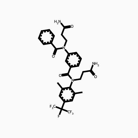 Cc1cc(C(F)(C(F)(F)F)C(F)(F)F)cc(C)c1N(CCC(N)=O)C(=O)c1cccc(N(CCC(N)=O)C(=O)c2ccccc2)c1